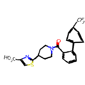 O=C(O)c1csc(C2CCN(C(=O)c3ccccc3-c3ccc(C(F)(F)F)cc3)CC2)n1